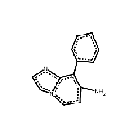 Nc1ccn2ccnc2c1-c1ccccc1